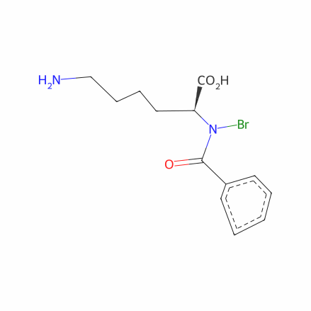 NCCCC[C@@H](C(=O)O)N(Br)C(=O)c1ccccc1